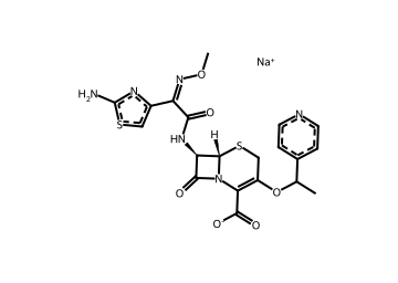 CO/N=C(\C(=O)N[C@@H]1C(=O)N2C(C(=O)[O-])=C(OC(C)c3ccncc3)CS[C@@H]12)c1csc(N)n1.[Na+]